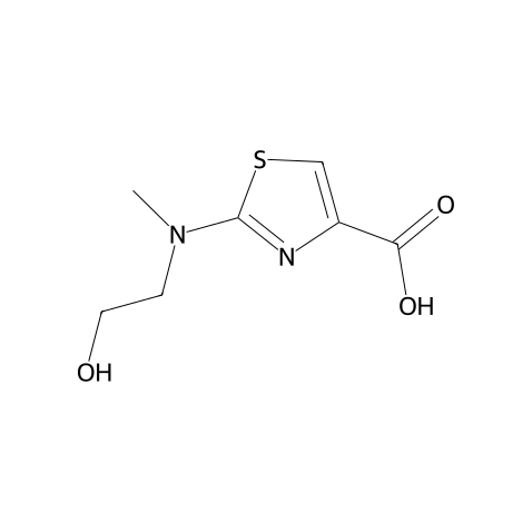 CN(CCO)c1nc(C(=O)O)cs1